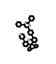 c1ccc(-c2cc(-c3ccc(-c4cccc5c4Oc4c(-c6ccncc6)cccc4C54c5ccccc5-c5ccccc54)cc3)nc(-c3ccccc3)n2)cc1